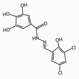 O=C(N/N=C/c1cc(Cl)cc(Cl)c1O)c1cc(O)c(O)c(O)c1